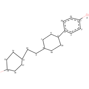 Bc1ccc(C2CCC(CCC3CCC(B)CC3)CC2)cc1